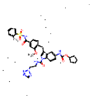 COc1cc(C(=O)NS(=O)(=O)c2ccccc2C)ccc1Cc1cn(C(=O)NCCn2ncnn2)c2ccc(NC(=O)OC3CCCC3)cc12